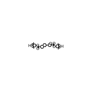 CC1(C)CC(OC(=O)C2CCC3CC(C4CCC(C(=O)OC5CC(C)(C)NC(C)(C)C5)OC4)CCC3C2)CC(C)(C)N1